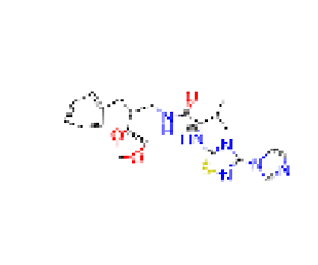 CC(C)[C@@H](Nc1nc(-n2ccnc2)ns1)C(=O)NCC(Cc1ccccc1)C1=COCO1